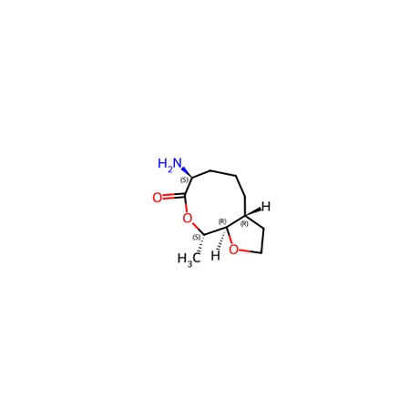 C[C@@H]1OC(=O)[C@@H](N)CCC[C@@H]2CCO[C@H]21